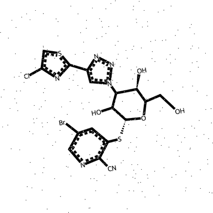 N#Cc1ncc(Br)cc1S[C@H]1OC(CO)[C@H](O)C(n2cc(-c3nc(Cl)cs3)nn2)C1O